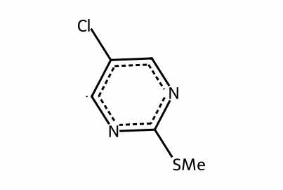 CSc1n[c]c(Cl)cn1